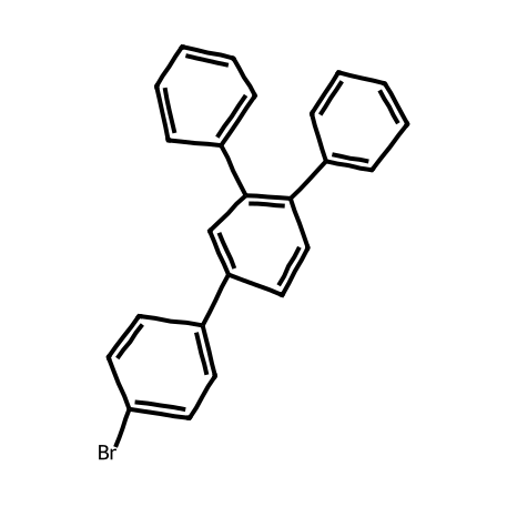 Brc1ccc(-c2ccc(-c3ccccc3)c(-c3ccccc3)c2)cc1